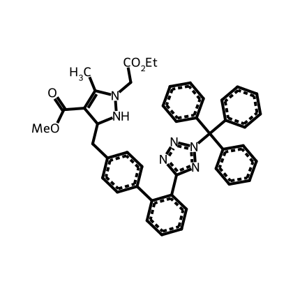 CCOC(=O)CN1NC(Cc2ccc(-c3ccccc3-c3nnn(C(c4ccccc4)(c4ccccc4)c4ccccc4)n3)cc2)C(C(=O)OC)=C1C